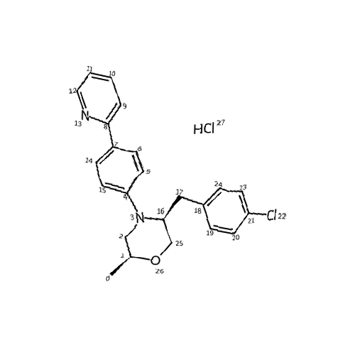 C[C@H]1CN(c2ccc(-c3ccccn3)cc2)[C@@H](Cc2ccc(Cl)cc2)CO1.Cl